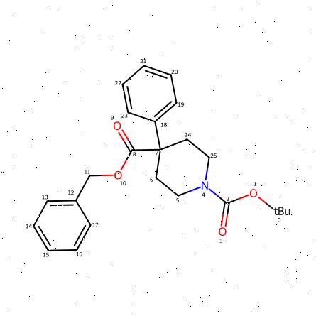 CC(C)(C)OC(=O)N1CCC(C(=O)OCc2ccccc2)(c2ccccc2)CC1